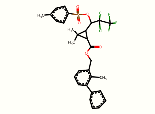 Cc1ccc(S(=O)(=O)OC(C2C(C(=O)OCc3cccc(-c4ccccc4)c3C)C2(C)C)C(Cl)(Cl)C(F)(F)F)cc1